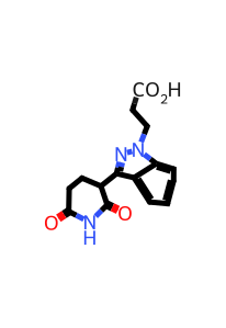 O=C(O)CCn1nc(C2CCC(=O)NC2=O)c2ccccc21